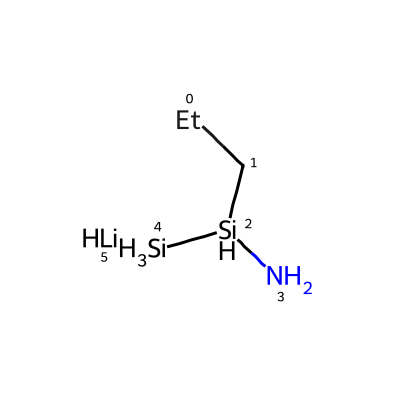 CCC[SiH](N)[SiH3].[LiH]